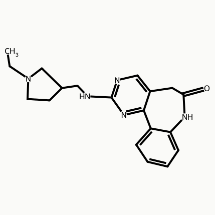 CCN1CCC(CNc2ncc3c(n2)-c2ccccc2NC(=O)C3)C1